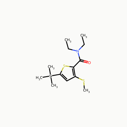 CCN(CC)C(=O)c1sc([Si](C)(C)C)cc1SC